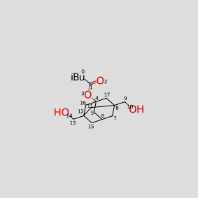 CCC(C)C(=O)OC12CC3CC(CO)(CC(CO)(C3)C1)C2